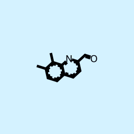 Cc1ccc2ccc(C=O)nc2c1C